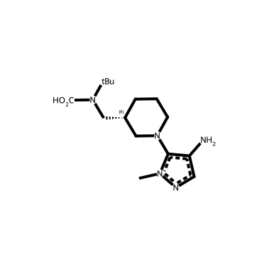 Cn1ncc(N)c1N1CCC[C@@H](CN(C(=O)O)C(C)(C)C)C1